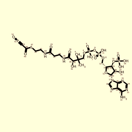 CC(C)(COP(=O)(O)OP(=O)(O)OC[C@H]1O[C@@H](n2cnc3c(N)ncnc32)[C@H](O)[C@@H]1OP(=O)(O)O)[C@@H](O)C(=O)NCCC(=O)NCCSC(=O)C#P=O